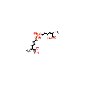 CC(=CCCCOP(=O)(O)OCCCC=C(C)C(=O)O)C(=O)O